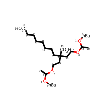 CCCCOC(C)OCCC(CCCCCCCC(=O)O)(CCOC(C)OCCCC)C(=O)O